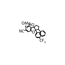 COc1nc(C#N)cc2c1[C@]1(O)CCC(c3ccccc3)C1(c1ccc(C(F)(F)F)cc1)O2